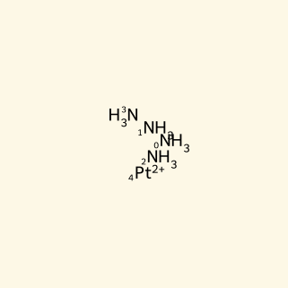 N.N.N.N.[Pt+2]